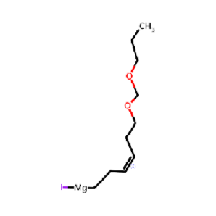 CCCOCOCC/C=C\C[CH2][Mg][I]